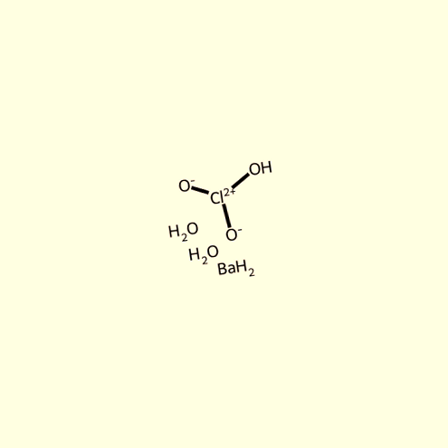 O.O.[BaH2].[O-][Cl+2]([O-])O